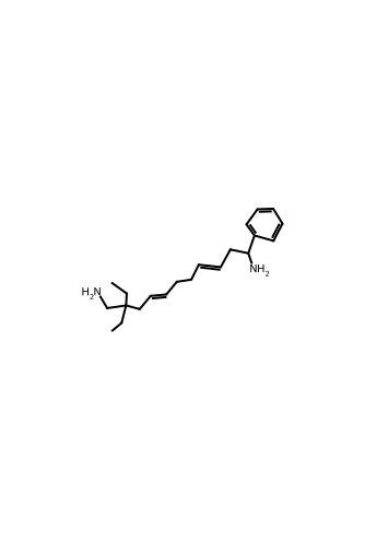 CCC(CC)(CN)C/C=C/CC/C=C/CC(N)c1ccccc1